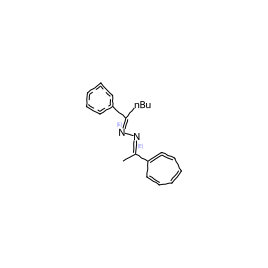 CCCC/C(=N\N=C(/C)C1=C=CC=CC=C1)c1ccccc1